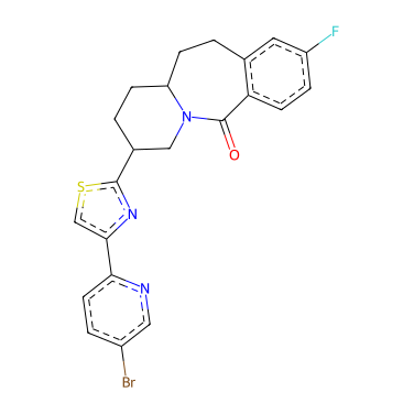 O=C1c2ccc(F)cc2CCC2CCC(c3nc(-c4ccc(Br)cn4)cs3)CN12